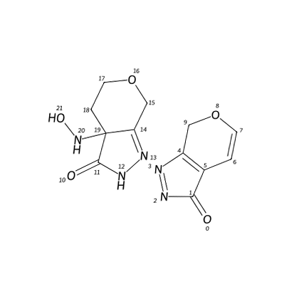 O=C1N=NC2=C1C=COC2.O=C1NN=C2COCCC12NO